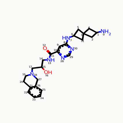 NC1CC2(C1)CC(Nc1cc(C(=O)NCC(O)CN3CCc4ccccc4C3)ncn1)C2